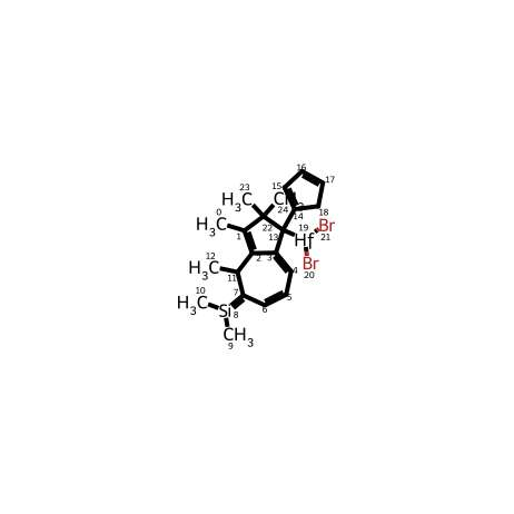 CC1=C2C(=CC=CC(=[Si](C)C)C2C)[C](C2=CC=CC2)([Hf]([Br])[Br])C1(C)C